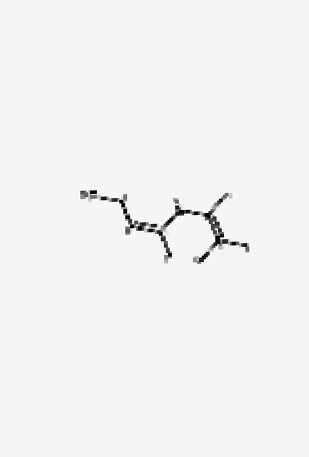 CC(C)=C(C)S/C(C)=C\CF